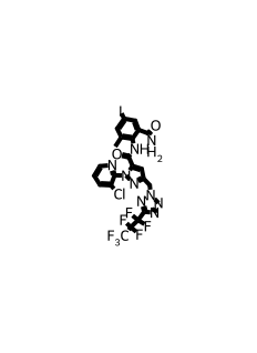 Cc1cc(I)cc(C(N)=O)c1NC(=O)c1cc(Cn2nnc(C(F)(F)C(F)(F)C(F)(F)F)n2)nn1-c1ncccc1Cl